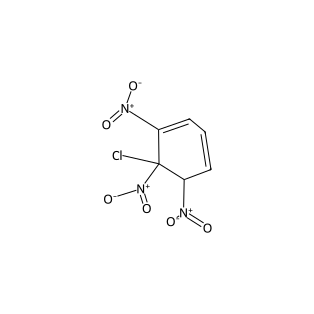 O=[N+]([O-])C1=CC=CC([N+](=O)[O-])C1(Cl)[N+](=O)[O-]